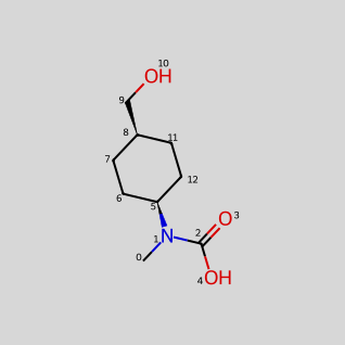 CN(C(=O)O)[C@H]1CC[C@@H](CO)CC1